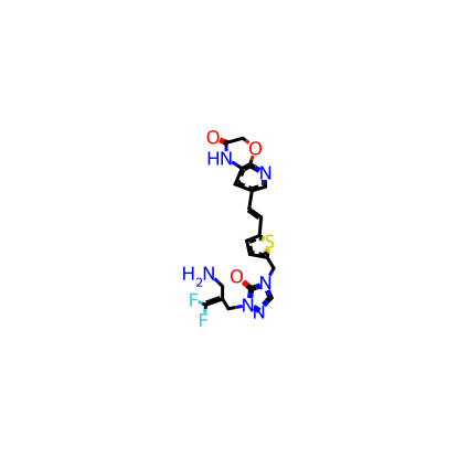 NCC(Cn1ncn(Cc2ccc(/C=C/c3cnc4c(c3)NC(=O)CO4)s2)c1=O)=C(F)F